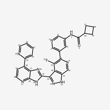 O=C(Nc1cncc(-c2ncc3[nH]nc(-c4nc5c(-c6ccccn6)ccnc5[nH]4)c3c2F)c1)C1CCC1